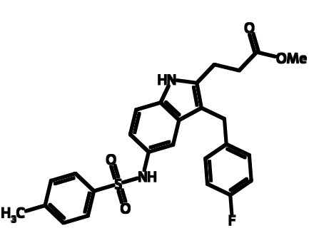 COC(=O)CCc1[nH]c2ccc(NS(=O)(=O)c3ccc(C)cc3)cc2c1Cc1ccc(F)cc1